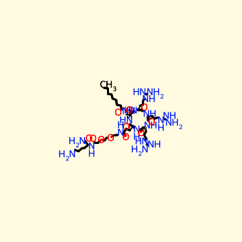 CCCCCCCCCC(=O)NC[C@@H]1NC(=O)[C@H](CCC(=O)NCCOCCOCC(=O)NC(CCCCN)C(N)=O)NC(=O)[C@H](CCCNC(=N)N)NC(=O)[C@H](CCCNC(=N)N)NC(=O)[C@H](CCCNC(=N)N)NC1=O